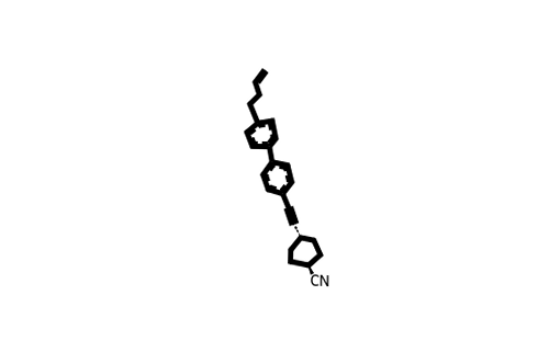 C=CCCc1ccc(-c2ccc(C#C[C@H]3CC[C@H](C#N)CC3)cc2)cc1